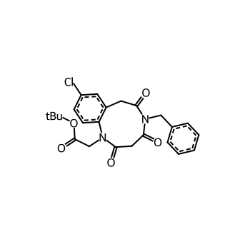 CC(C)(C)OC(=O)CN1C(=O)CC(=O)N(Cc2ccccc2)C(=O)Cc2cc(Cl)ccc21